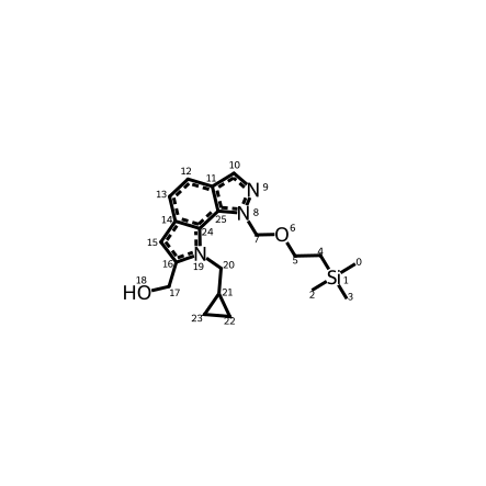 C[Si](C)(C)CCOCn1ncc2ccc3cc(CO)n(CC4CC4)c3c21